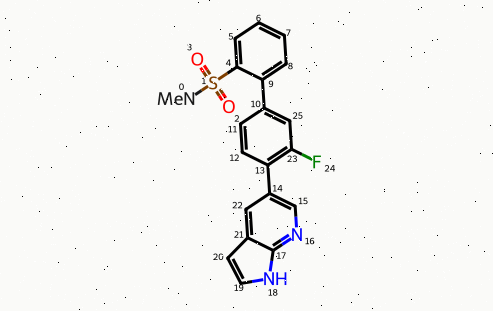 CNS(=O)(=O)c1ccccc1-c1ccc(-c2cnc3[nH]ccc3c2)c(F)c1